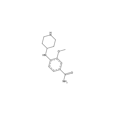 COc1cc(C(N)=O)ccc1NC1CCNCC1